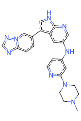 CN1CCN(c2cc(Nc3cnc4[nH]cc(-c5ccc6ncnn6c5)c4c3)ccn2)CC1